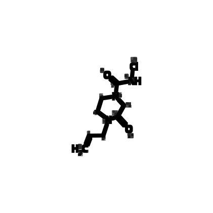 C=CCN1CCN(C(=O)NCl)CC1=O